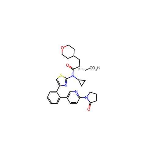 O=C(O)C[C@@H](CC1CCOCC1)C(=O)N(c1nc(-c2ccccc2-c2ccc(N3CCCC3=O)nc2)cs1)C1CC1